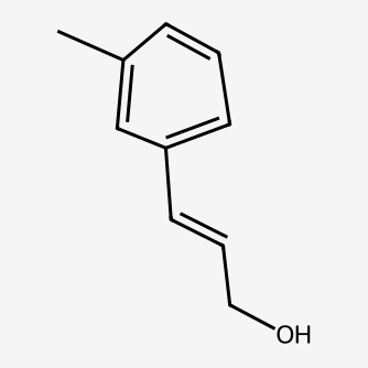 Cc1cccc(/C=C/CO)c1